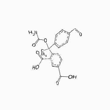 CC(OC(N)=O)(c1ccc(C=O)cc1)c1ccc(C(=O)O)cc1C(=O)O